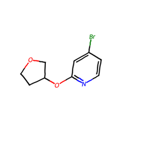 Brc1ccnc(OC2CCOC2)c1